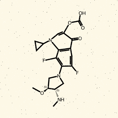 CN[C@H]1CN(c2c(F)cc3c(=O)c(OC(=O)O)cn(C4CC4)c3c2F)C[C@@H]1OC